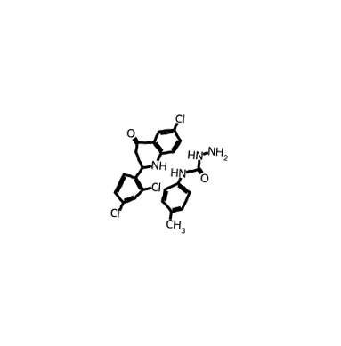 Cc1ccc(NC(=O)NN)cc1.O=C1CC(c2ccc(Cl)cc2Cl)Nc2ccc(Cl)cc21